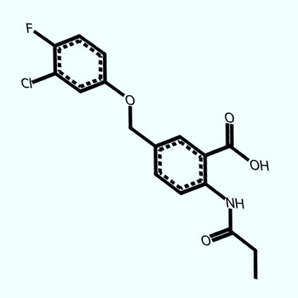 CCC(=O)Nc1ccc(COc2ccc(F)c(Cl)c2)cc1C(=O)O